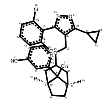 N#Cc1ccnc(C2(O)[C@@H]3CC[C@H]2CC(OCc2c(-c4c(Cl)cccc4Cl)noc2C2CC2)C3)c1